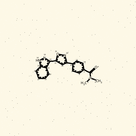 CN(C)C(=O)c1ccc(-c2cc(-c3n[nH]c4ccccc34)on2)cc1